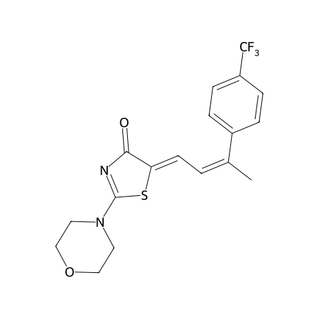 CC(=CC=C1SC(N2CCOCC2)=NC1=O)c1ccc(C(F)(F)F)cc1